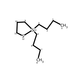 CCCC[Si]1(CCCC)CCCS1